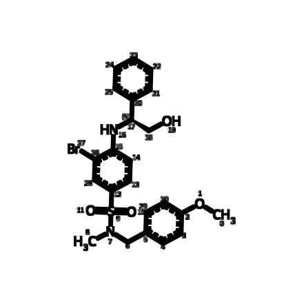 COc1ccc(CN(C)S(=O)(=O)c2ccc(N[C@H](CO)c3ccccc3)c(Br)c2)cc1